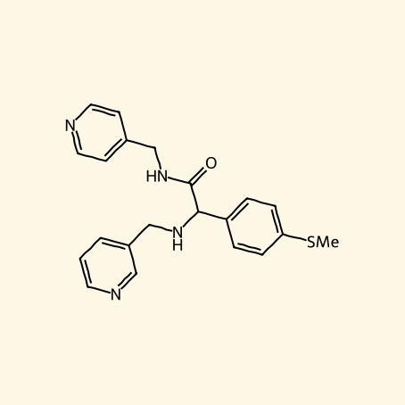 CSc1ccc(C(NCc2cccnc2)C(=O)NCc2ccncc2)cc1